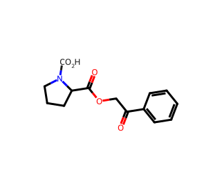 O=C(COC(=O)C1CCCN1C(=O)O)c1ccccc1